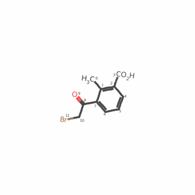 Cc1c(C(=O)O)cccc1C(=O)CBr